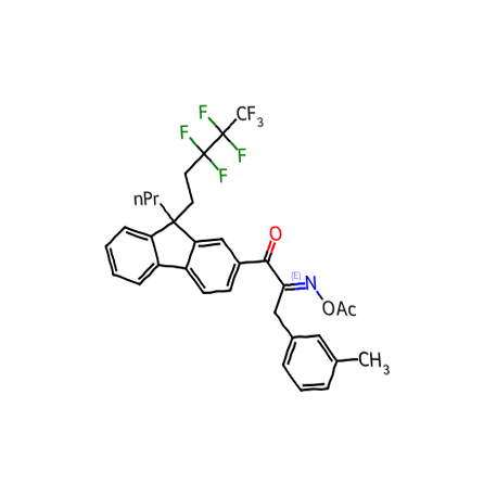 CCCC1(CCC(F)(F)C(F)(F)C(F)(F)F)c2ccccc2-c2ccc(C(=O)/C(Cc3cccc(C)c3)=N/OC(C)=O)cc21